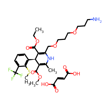 CCOC(=O)C1=C(COCCCOCCCN)NC(C)=C(C(=O)OC)[C@H]1c1cccc(C(F)(F)F)c1SC.O=C(O)/C=C/C(=O)O